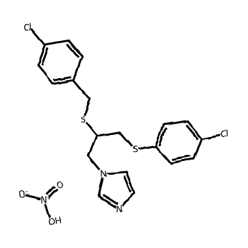 Clc1ccc(CSC(CSc2ccc(Cl)cc2)Cn2ccnc2)cc1.O=[N+]([O-])O